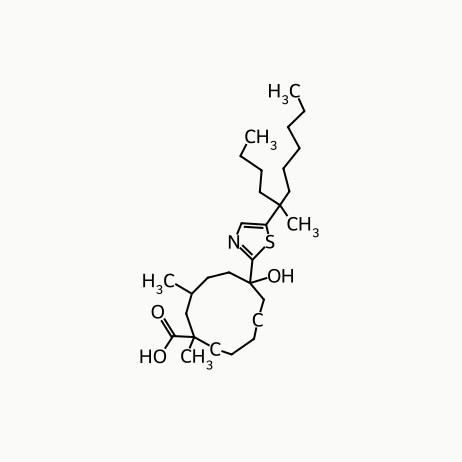 CCCCCCC(C)(CCCC)c1cnc(C2(O)CCCCCC(C)(C(=O)O)CC(C)CC2)s1